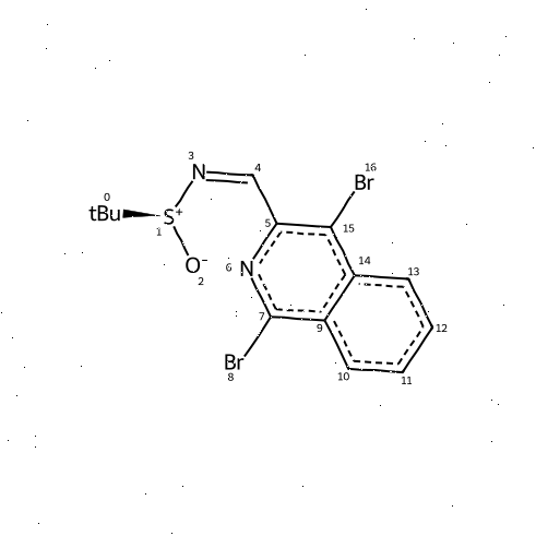 CC(C)(C)[S@+]([O-])/N=C\c1nc(Br)c2ccccc2c1Br